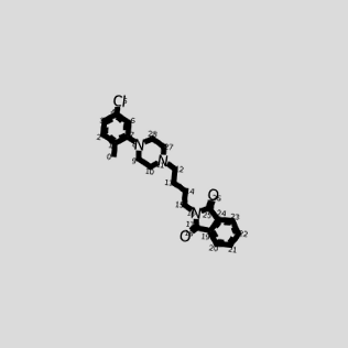 Cc1ccc(Cl)cc1N1CCN(CCCCN2C(=O)c3ccccc3C2=O)CC1